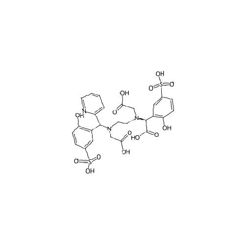 O=C(O)CN(CCN(CC(=O)O)[C@H](C(=O)O)c1cc(S(=O)(=O)O)ccc1O)C(c1ccccn1)c1cc(S(=O)(=O)O)ccc1O